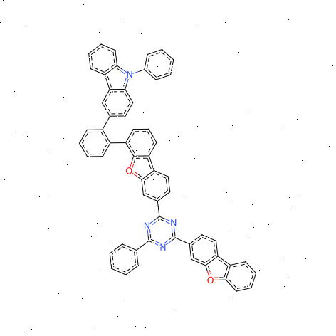 c1ccc(-c2nc(-c3ccc4c(c3)oc3ccccc34)nc(-c3ccc4c(c3)oc3c(-c5ccccc5-c5ccc6c(c5)c5ccccc5n6-c5ccccc5)cccc34)n2)cc1